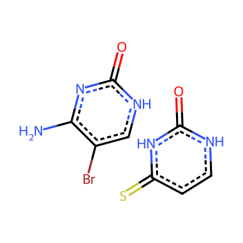 Nc1nc(=O)[nH]cc1Br.O=c1[nH]ccc(=S)[nH]1